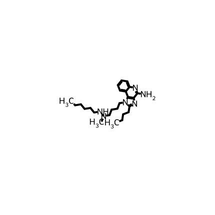 CCCCCCNN(C)CCCCn1c(CCCC)nc2c(N)nc3ccccc3c21